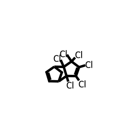 ClC1=C(Cl)C2(Cl)C3C=CC(C3)C2(Cl)C1(Cl)Cl